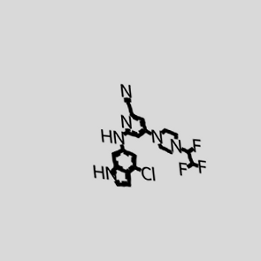 N#Cc1cc(N2CCN(C(F)C(F)F)CC2)cc(Nc2cc(Cl)c3cc[nH]c3c2)n1